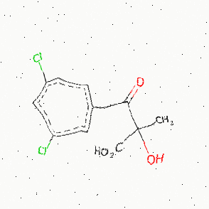 CC(O)(C(=O)O)C(=O)c1cc(Cl)cc(Cl)c1